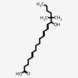 CCCCC(C)(C)C(O)C=CC=CCCCCC=CCCCC(=O)O